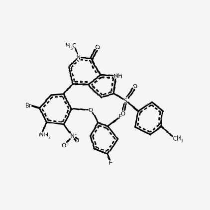 Cc1ccc(S(=O)(=O)c2cc3c(-c4cc(Br)c(N)c([N+](=O)[O-])c4Oc4ccc(F)cc4F)cn(C)c(=O)c3[nH]2)cc1